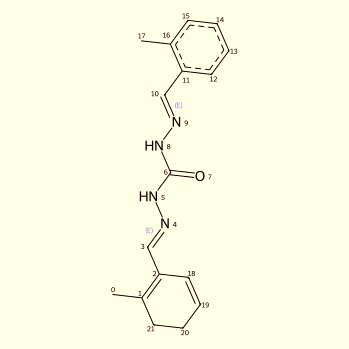 CC1=C(/C=N/NC(=O)N/N=C/c2ccccc2C)C=CCC1